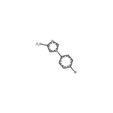 O=[N+]([O-])c1cn(-c2ccc(Br)cc2)cn1